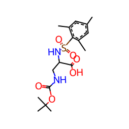 Cc1cc(C)c(S(=O)(=O)NC(CNC(=O)OC(C)(C)C)C(=O)O)c(C)c1